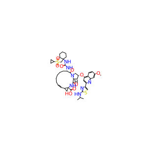 COc1ccc2c(O[C@@H]3C[C@H]4C(=O)N[C@]5(C(=O)O)CC5/C=C\CCCCC[C@H](NC(=O)NC5(CS(=O)(=O)C6CC6)CCCCC5)C(=O)N4C3)cc(-c3csc(NC(C)C)n3)nc2c1